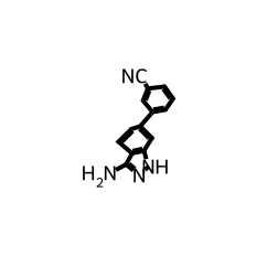 N#Cc1cccc(-c2ccc3c(N)n[nH]c3c2)c1